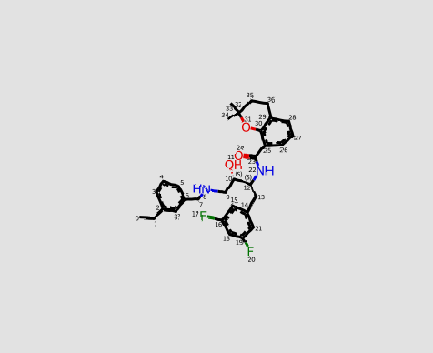 CCc1cccc(CNC[C@H](O)[C@H](Cc2cc(F)cc(F)c2)NC(=O)c2cccc3c2OC(C)(C)CC3)c1